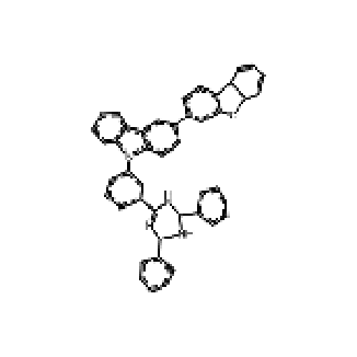 C1=CC2Oc3cc(-c4ccc5c(c4)c4ccccc4n5-c4cccc(C5=NC(c6ccccc6)NC(c6ccccc6)N5)c4)ccc3C2C=C1